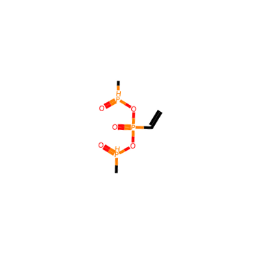 C=CP(=O)(O[PH](C)=O)O[PH](C)=O